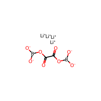 O=C(OB([O-])[O-])C(=O)OB([O-])[O-].[Li+].[Li+].[Li+].[Li+]